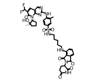 Cc1cc(S(=O)(=O)NCCCCCNc2cccc3c2C(=O)N(C2CCC(=O)NC2=O)C3=O)ccc1Nc1ncc2cc(C(F)F)c(=O)n([C@@H]3CCC[C@@]3(C)O)c2n1